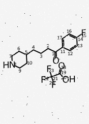 O=C(CCCC1CCNCC1)c1ccc(F)cc1.O=C(O)C(F)(F)F